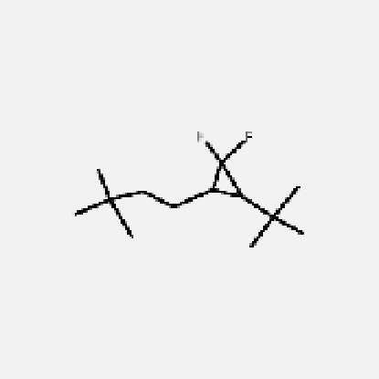 CC(C)(C)CCC1C(C(C)(C)C)C1(F)F